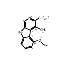 CCOC(=O)c1ncc2[nH]c3cccc(OC(C)CC)c3c2c1C